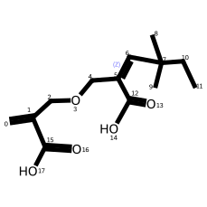 C=C(COC/C(=C/C(C)(C)CC)C(=O)O)C(=O)O